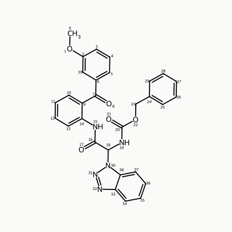 COc1cccc(C(=O)c2ccccc2NC(=O)C(NC(=O)OCc2ccccc2)n2nnc3ccccc32)c1